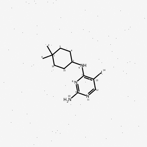 CC1(C)CCC(Nc2nc(N)ncc2I)CC1